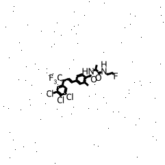 Cc1cc(/C=C/C(c2cc(Cl)c(Cl)c(Cl)c2)C(F)(F)F)ccc1C(=O)NC(C)C(=O)NCCF